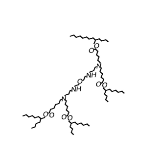 CCCCCCCCC(CCCC)COC(=O)CCCCCN(CCCCCC(=O)OCC(CCCC)CCCCCC)CCCNCCOCCNCCCN(CCCCCC(=O)OCC(CCCC)CCCCCC)CCCCCC(=O)OCC(CCCC)CCCCCC